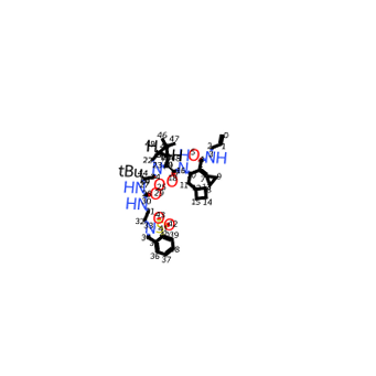 C=CCNC(=O)C(=C1CC1)C(CC1CCC1)NC(=O)[C@@H]1[C@@H]2[C@H](CN1C(=O)[C@@H](NC(=O)NCCN1Cc3ccccc3S1(=O)=O)C(C)(C)C)C2(C)C